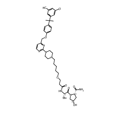 CC(C)(c1ccc(OCc2ccnc(N3CCN(CCCCCOCCC(=O)N[C@H](C(=O)N4C[C@H](O)C[C@H]4C(N)=O)C(C)(C)C)CC3)n2)cc1)c1cc(Cl)cc(C#N)c1